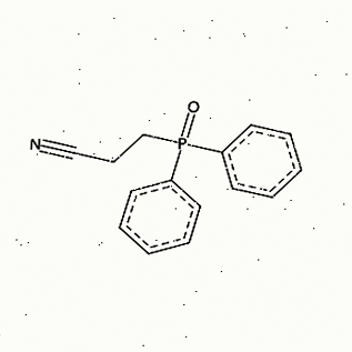 N#CCCP(=O)(c1ccccc1)c1ccccc1